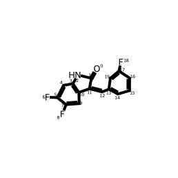 O=C1Nc2cc(F)c(F)cc2C1=Cc1cccc(F)c1